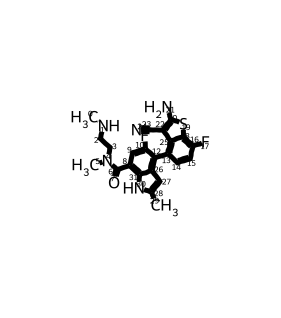 CNCCN(C)C(=O)c1cc(F)c(-c2ccc(F)c3sc(N)c(C#N)c23)c2cc(C)[nH]c12